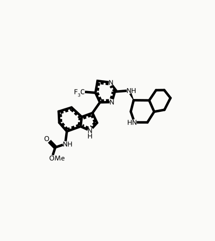 COC(=O)Nc1cccc2c(-c3nc(N[C@@H]4CNCC5CCCCC54)ncc3C(F)(F)F)c[nH]c12